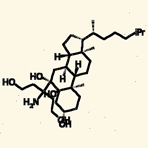 CC(C)CCC[C@@H](C)[C@H]1CC[C@H]2[C@@H]3C[C@](O)(C(N)(CCO)CCO)[C@@]4(O)C[C@@H](O)CC[C@]4(C)[C@H]3CC[C@]12C